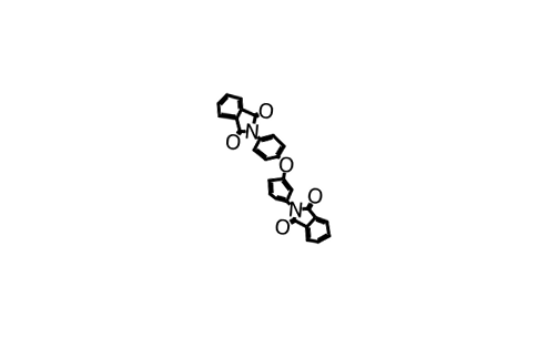 O=C1c2ccccc2C(=O)N1c1ccc(Oc2cccc(N3C(=O)c4ccccc4C3=O)c2)cc1